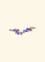 COC(=O)N[C@H](C(=O)N1CCCC1c1ncc(-c2ccc(-c3cn(C)c4c(-c5cnc(C6CCCN6C(=O)[C@@H](NC(=O)OC)C(C)C)[nH]5)csc34)cc2)[nH]1)C(C)C